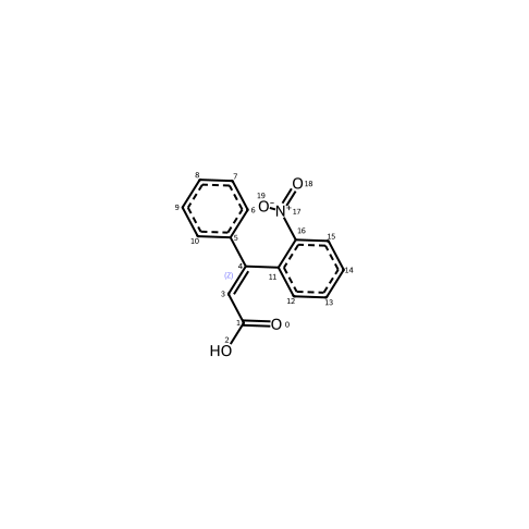 O=C(O)/C=C(/c1ccccc1)c1ccccc1[N+](=O)[O-]